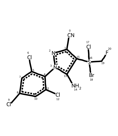 N#Cc1nn(-c2c(Cl)cc(Cl)cc2Cl)c(N)c1S(Cl)(Br)CF